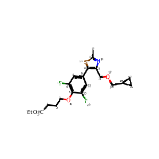 CCOC(=O)CCCOc1c(F)cc(-c2sc(C)nc2COCC2CC2)cc1F